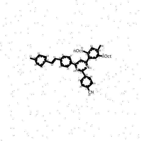 CCCCCCCCc1cc(-c2cc(-c3ccc(/C=C/c4ccc(C)cc4)cc3)nc(-c3ccc(C#N)cc3)n2)c(CCCCCCCC)cc1C